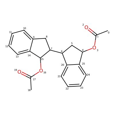 CC(=O)OC1CC(C2Cc3ccccc3C2OC(C)=O)c2ccccc21